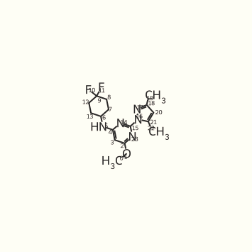 COc1cc(NC2CCC(F)(F)CC2)nc(-n2nc(C)cc2C)n1